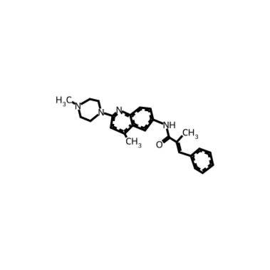 C/C(=C\c1ccccc1)C(=O)Nc1ccc2nc(N3CCN(C)CC3)cc(C)c2c1